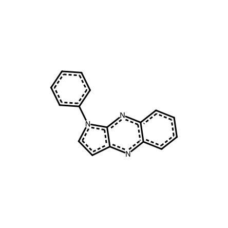 c1ccc(-n2ccc3nc4ccccc4nc32)cc1